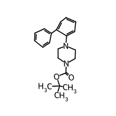 CC(C)(C)OC(=O)N1CCN(c2ccccc2-c2ccccc2)CC1